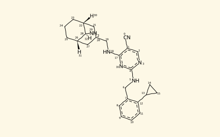 N#Cc1cnc(NCc2ccccc2C2CC2)nc1NCC1C[C@H]2CCC[C@@H](C1)[C@@H]2N